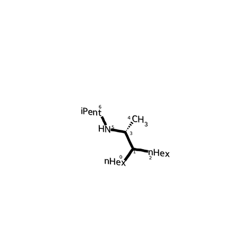 CCCCCCC(CCCCCC)[C@@H](C)NC(C)CCC